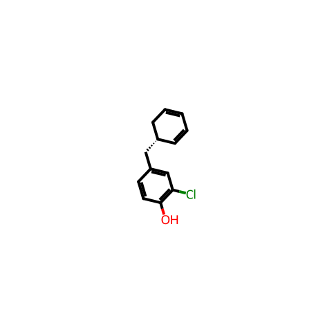 Oc1ccc(C[C@H]2C=CC=CC2)cc1Cl